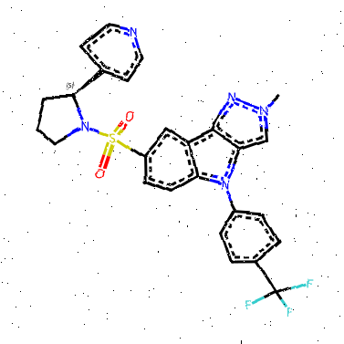 Cn1cc2c(n1)c1cc(S(=O)(=O)N3CCC[C@H]3c3ccncc3)ccc1n2-c1ccc(C(F)(F)F)cc1